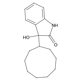 O=C1Nc2ccccc2C1(O)C1CCCCCCCC1